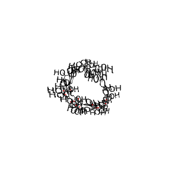 OC[C@H]1O[C@@H]2O[C@H]3C(O)C(O)[C@H](O[C@@H]3CO)O[C@H]3C(O)C(O)[C@@H]4O[C@@H]3CSCc3ccc(cc3)-n3cc(c5ccccc53)CSC[C@H]3O[C@H](O[C@H]5C(O)C(O)[C@H](O[C@@H]5CO)O[C@H]1C(O)C2O)C(O)C(O)[C@@H]3O[C@H]1O[C@H](CO)[C@@H](O[C@H]2O[C@H](CO)[C@@H](O4)C(O)C2O)C(O)C1O